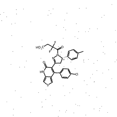 Cc1ccc([C@@H]2CC(c3c(-c4ccc(Cl)cc4)c4cscc4[nH]c3=O)=NN2C(=O)C(F)(F)CC(=O)O)cc1